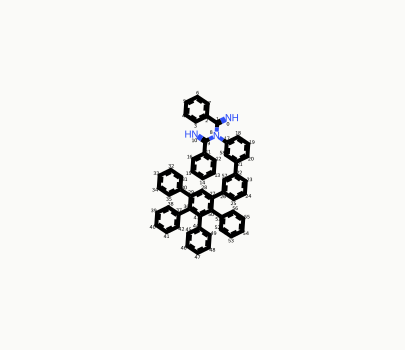 N=C(c1ccccc1)N(C(=N)c1ccccc1)c1cccc(-c2cccc(-c3cc(-c4ccccc4)c(-c4ccccc4)c(-c4ccccc4)c3-c3ccccc3)c2)c1